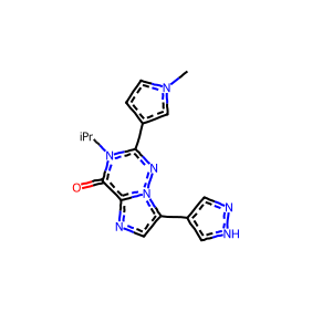 CC(C)n1c(-c2ccn(C)c2)nn2c(-c3cn[nH]c3)cnc2c1=O